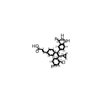 O=C(O)/C=C/c1ccc(/C(=C(\c2ccc(F)cc2Cl)C2CC2)c2ccc3c(c2)C(F)NN3)cc1